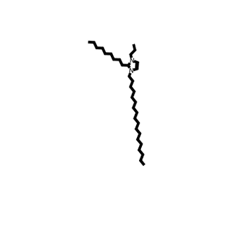 CCCCCCCCCCCCCCCCCCN1C=CN(CCC)C1CCCCCCCCC